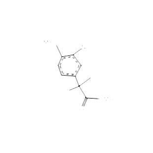 COC(=O)C(C)(C)c1ccc(OC)c(N)c1.Cl